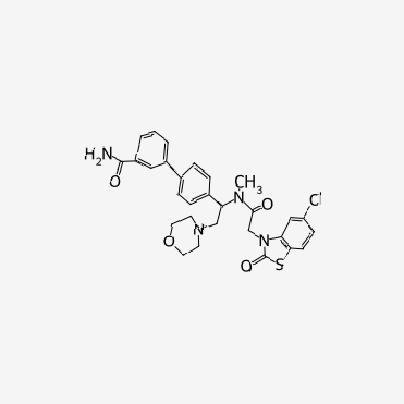 CN(C(=O)Cn1c(=O)sc2ccc(Cl)cc21)C(CN1CCOCC1)c1ccc(-c2cccc(C(N)=O)c2)cc1